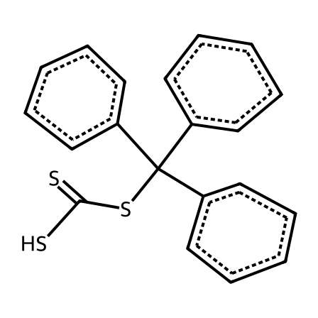 S=C(S)SC(c1ccccc1)(c1ccccc1)c1ccccc1